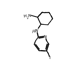 NC1CCCCC1Nc1ccc(I)cn1